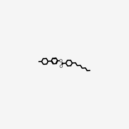 CCCCCCCC1CCC(C(=O)Oc2ccc(C3CCC(C)CC3)cc2)CC1